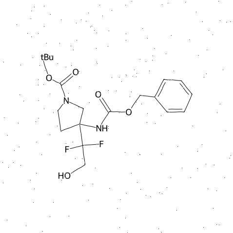 CC(C)(C)OC(=O)N1CCC(NC(=O)OCc2ccccc2)(C(F)(F)CO)C1